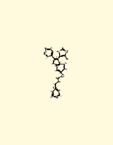 Cc1ncsc1C1=C(c2cccnc2)Cc2cc(OCCCc3ccncc3)ccc21